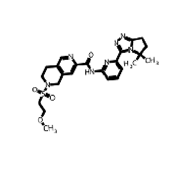 COCCS(=O)(=O)N1CCc2cnc(C(=O)Nc3cccc(-c4nnc5n4C(C)(C)CC5)n3)cc2C1